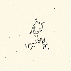 C[SiH](C)C1CC2C=CC1C2